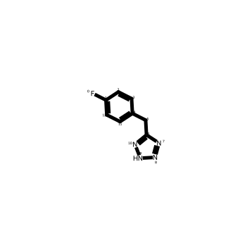 Fc1ccc(Cc2nn[nH]n2)cc1